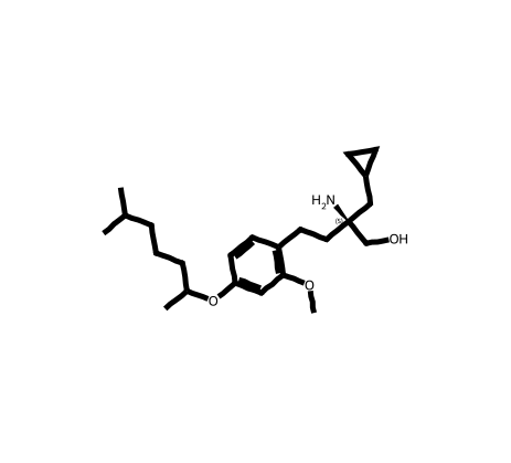 COc1cc(OC(C)CCCC(C)C)ccc1CC[C@@](N)(CO)CC1CC1